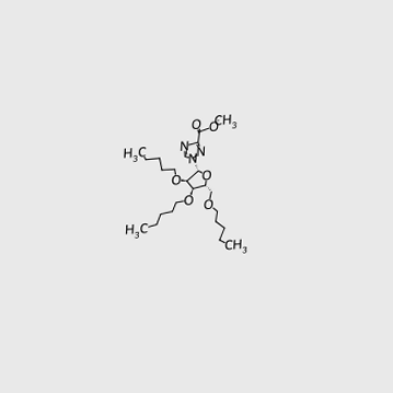 CCCCCOC[C@H]1O[C@@H](n2cnc(C(=O)OC)n2)[C@H](OCCCCC)[C@@H]1OCCCCC